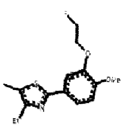 CCc1nc(-c2ccc(OC)c(OCCF)c2)sc1C